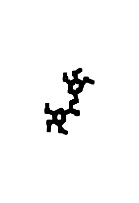 COc1cc(C=CC(=O)c2cc(OC)c(OC)c(OC)c2)cc(OC)c1OC